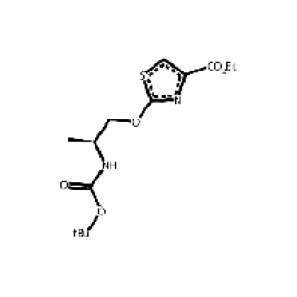 CCOC(=O)c1csc(OC[C@H](C)NC(=O)OC(C)(C)C)n1